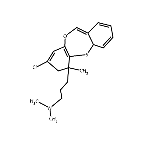 CN(C)CCCC1(C)CC(Cl)=CC2=C1SC1C=CC=CC1=CO2